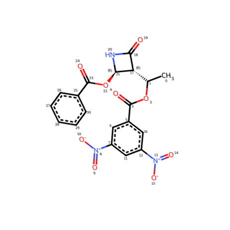 CC(OC(=O)c1cc([N+](=O)[O-])cc([N+](=O)[O-])c1)[C@H]1C(=O)N[C@@H]1OC(=O)c1ccccc1